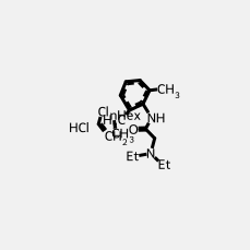 C=CCl.CCCCCCC.CCN(CC)CC(=O)Nc1c(C)cccc1C.Cl